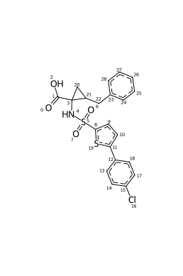 O=C(O)C1(NS(=O)(=O)c2ccc(-c3ccc(Cl)cc3)s2)CC1Cc1ccccc1